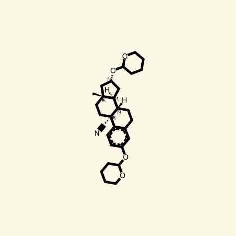 C[C@]12CC[C@]3(C#N)c4ccc(OC5CCCCO5)cc4CC[C@H]3[C@@H]1C[C@@H](OC1CCCCO1)C2